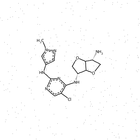 Cn1cc(Nc2ncc(Cl)c(N[C@@H]3COC4C3OC[C@H]4N)n2)cn1